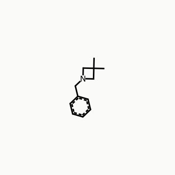 CC1(C)CN(Cc2ccccc2)C1